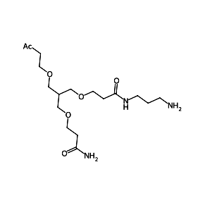 CC(=O)CCOCC(COCCC(N)=O)COCCC(=O)NCCCN